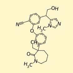 CCC1(c2cccc(Oc3cc(C(CO)c4cncn4C)ccc3C#N)c2)CCCCN(C)C1=O